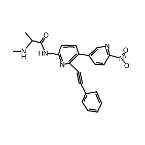 CNC(C)C(=O)Nc1ccc(-c2ccc([N+](=O)[O-])nc2)c(C#Cc2ccccc2)n1